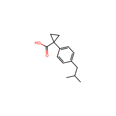 CC(C)Cc1ccc(C2(C(=O)O)CC2)cc1